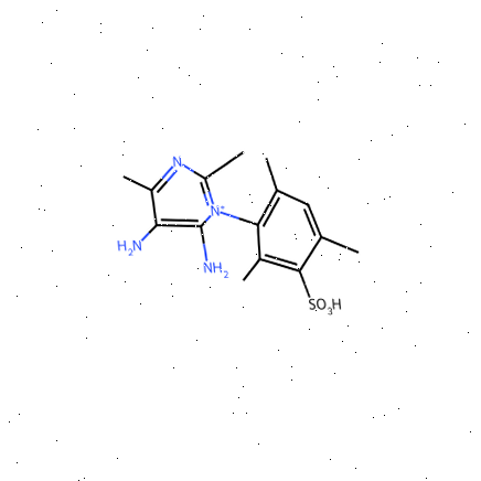 Cc1cc(C)c(S(=O)(=O)O)c(C)c1-[n+]1c(C)nc(C)c(N)c1N